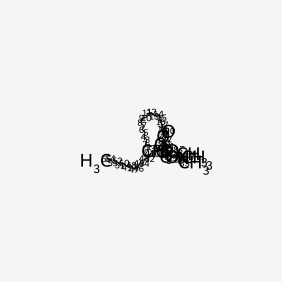 CCCCCCCC/C=C\C/C=C\C/C=C\CCCC(=O)OC[C@H](COP(=O)([O-])OCC[N+](C)(C)C)OC(=O)CCCCCCC/C=C\CCCCCCCC